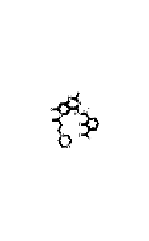 C=C(CCN1CCOCC1)n1cc2c(N[C@H](C)c3cccc(C(F)F)c3F)nc(C)nc2cc1=O